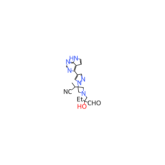 CCC(O)(C=O)CN1CC(C(C)C#N)(n2cc(-c3ncnc4[nH]ccc34)cn2)C1